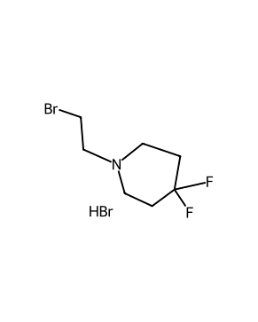 Br.FC1(F)CCN(CCBr)CC1